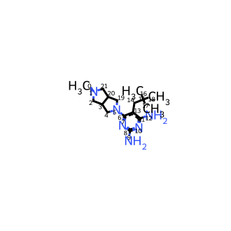 CN1CC2CN(c3nc(N)nc(N)c3CC(C)(C)C)CC2C1